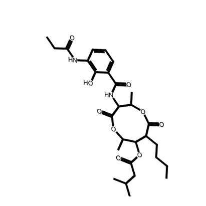 CCCCC1C(=O)OC(C)C(NC(=O)c2cccc(NC(=O)CC)c2O)C(=O)OC(C)C1OC(=O)CC(C)C